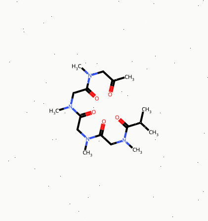 CC(=O)CN(C)C(=O)CN(C)C(=O)CN(C)C(=O)CN(C)C(=O)C(C)C